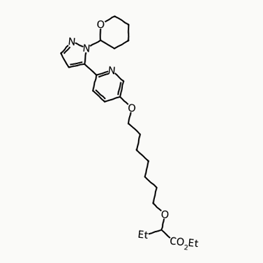 CCOC(=O)C(CC)OCCCCCCCOc1ccc(-c2ccnn2C2CCCCO2)nc1